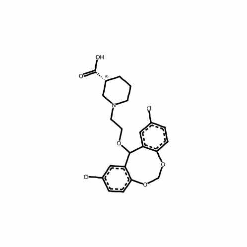 O=C(O)[C@@H]1CCCN(CCOC2c3cc(Cl)ccc3OCOc3ccc(Cl)cc32)C1